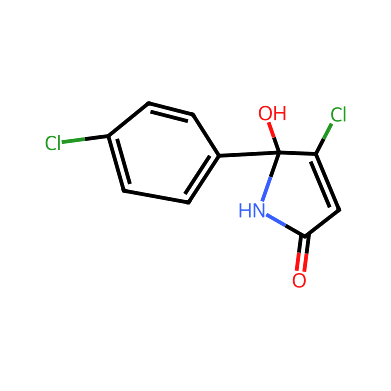 O=C1C=C(Cl)C(O)(c2ccc(Cl)cc2)N1